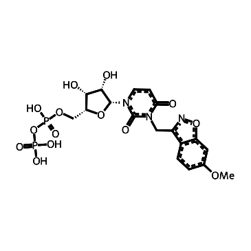 COc1ccc2c(Cn3c(=O)ccn([C@@H]4O[C@H](COP(=O)(O)OP(=O)(O)O)[C@H](O)[C@@H]4O)c3=O)noc2c1